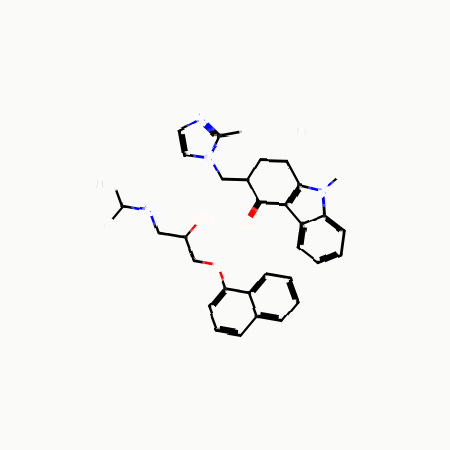 CC(C)NCC(O)COc1cccc2ccccc12.Cc1nccn1CC1CCc2c(c3ccccc3n2C)C1=O.Cl